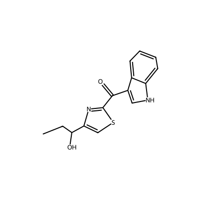 CCC(O)c1csc(C(=O)c2c[nH]c3ccccc23)n1